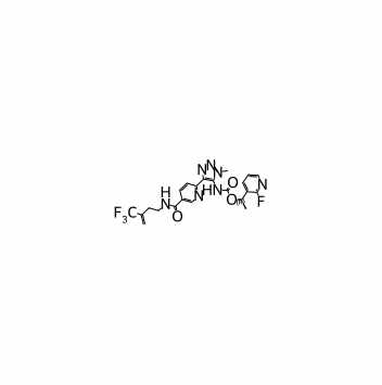 C=C(CCNC(=O)c1ccc(-c2nnn(C)c2NC(=O)O[C@H](C)c2cccnc2F)nc1)C(F)(F)F